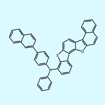 c1ccc(N(c2ccc(-c3ccc4ccccc4c3)cc2)c2cccc3c2sc2ccc4c(oc5ccc6ccccc6c54)c23)cc1